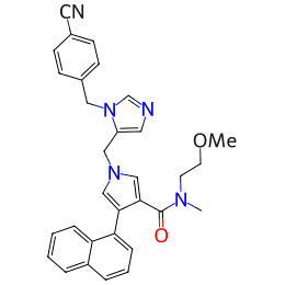 COCCN(C)C(=O)c1cn(Cc2cncn2Cc2ccc(C#N)cc2)cc1-c1cccc2ccccc12